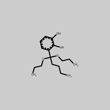 CCCCC(OCCC)(OCCC)c1cccc(O)c1O